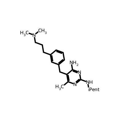 CCCC(C)Nc1nc(C)c(Cc2cccc(CCCN(C)C)c2)c(N)n1